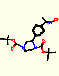 C/C(=N\O)c1ccc(C2CN(C(=O)OC(C)(C)C)CCN2C(=O)OC(C)(C)C)cc1